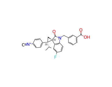 [C-]#[N+]c1ccc([C@@]2(C(C)C)C[C@]23C(=O)N(Cc2cccc(C(=O)O)c2)c2ccc(F)cc23)cc1